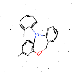 Cc1ccc2c(c1)OCc1ccccc1N2c1ccccc1C